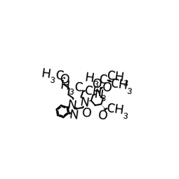 COCCCCn1c(C(=O)N(CC(C)C)[C@H]2C[C@@H](C(C)=O)CN(C(=O)OC(C)(C)C)C2)nc2ccccc21